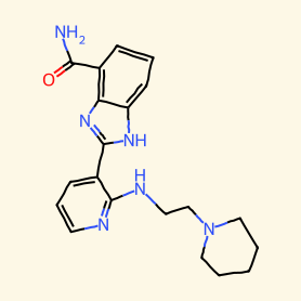 NC(=O)c1cccc2[nH]c(-c3cccnc3NCCN3CCCCC3)nc12